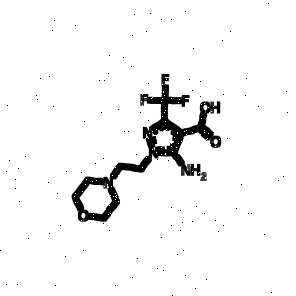 Nc1c(C(=O)O)c(C(F)(F)F)nn1CCN1CCOCC1